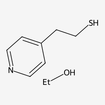 CCO.SCCc1ccncc1